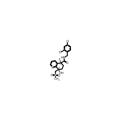 CS(=O)(=O)C[C@@]1(O)CC[C@@](F)(C(=O)NCc2ccc(Cl)cc2Cl)c2cccnc21